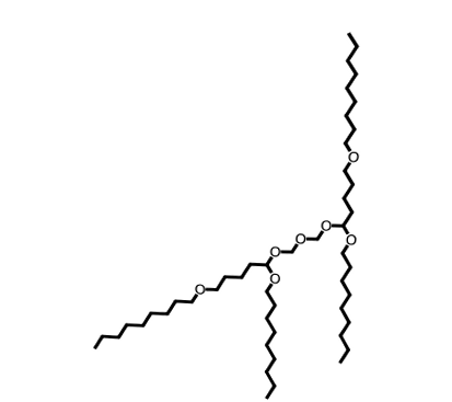 CCCCCCCCCOCCCCC(OCCCCCCCCC)OCOCOC(CCCCOCCCCCCCCC)OCCCCCCCCC